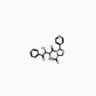 CC(C(=O)N1C(c2ccncc2)SC[C@H]1C(=O)O)C(S)C(=O)c1ccccc1